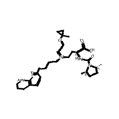 C[C@@H]1CC[C@@H](C)N1C(=O)N[C@@H](CCN(CCCCc1ccc2c(n1)NCCC2)CCOC1(C)CC1)C(=O)O